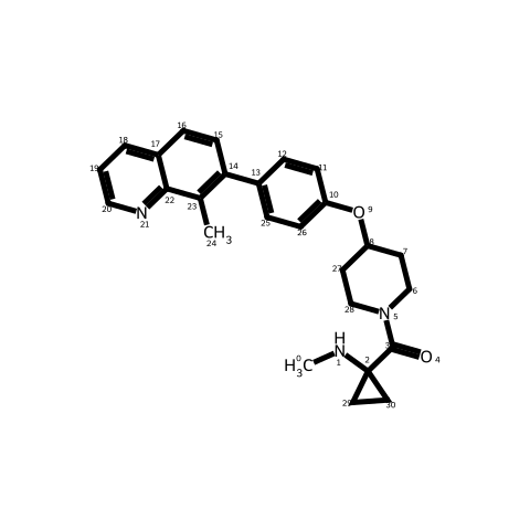 CNC1(C(=O)N2CCC(Oc3ccc(-c4ccc5cccnc5c4C)cc3)CC2)CC1